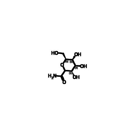 NC(=O)C1O[C@@H](CO)[C@@H](O)[C@@H](O)[C@@H]1O